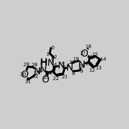 CCCNc1nc(N2CCN(c3ccccc3OC)CC2)ccc1C(=O)NN1CCOCC1